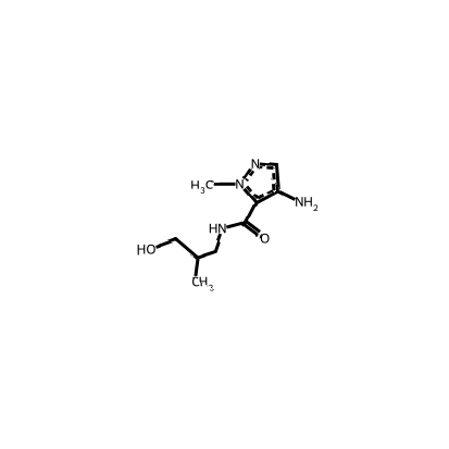 CC(CO)CNC(=O)c1c(N)cnn1C